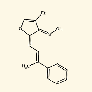 CCC1=COC(=C/C=C(\C)c2ccccc2)/C1=N/O